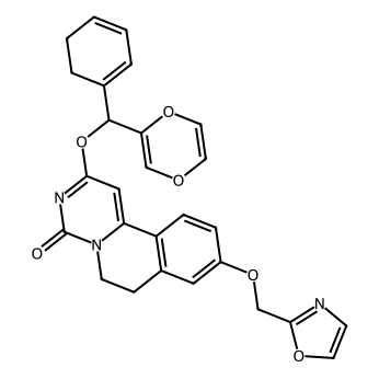 O=c1nc(OC(C2=CC=CCC2)C2=COC=CO2)cc2n1CCc1cc(OCc3ncco3)ccc1-2